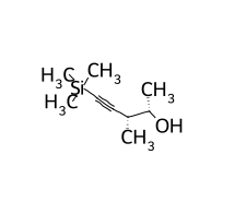 C[C@H](O)[C@H](C)C#C[Si](C)(C)C